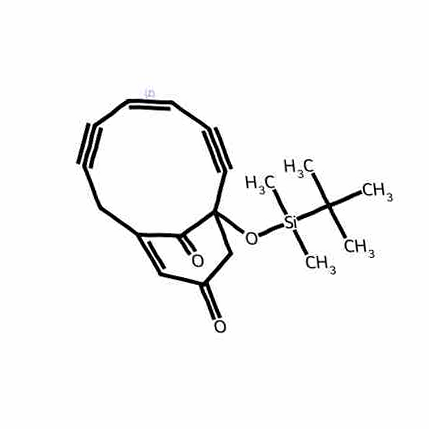 CC(C)(C)[Si](C)(C)OC12C#C/C=C\C#CCC(=CC(=O)C1)C2=O